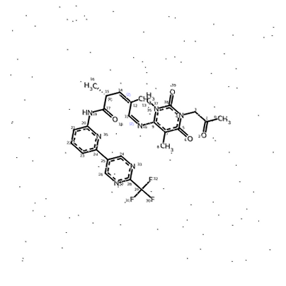 CC(=O)Cn1c(=O)c(C)c(/N=C\C(C)=C/[C@@H](C)C(=O)Nc2cccc(-c3cnc(C(F)(F)F)nc3)n2)n(C)c1=O